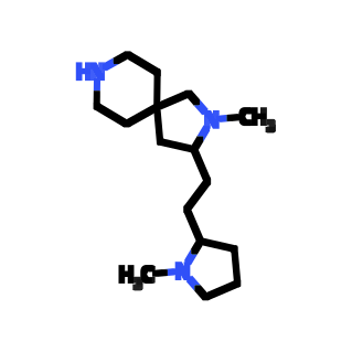 CN1CCCC1CCC1CC2(CCNCC2)CN1C